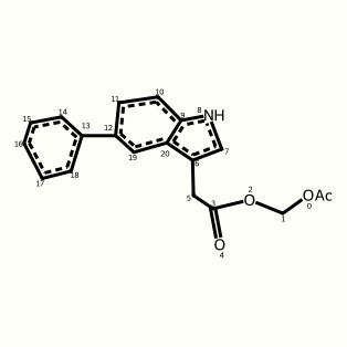 CC(=O)OCOC(=O)Cc1c[nH]c2ccc(-c3ccccc3)cc12